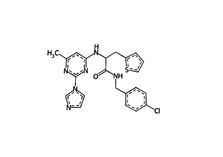 Cc1cc(NC(Cc2cccs2)C(=O)NCc2ccc(Cl)cc2)nc(-n2ccnc2)n1